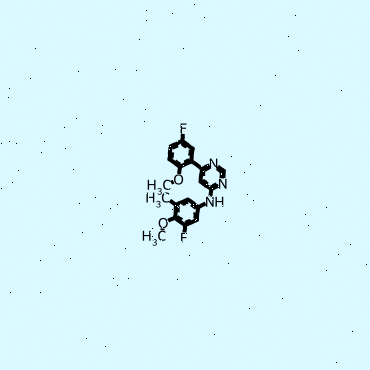 COc1ccc(F)cc1-c1cc(Nc2cc(C)c(OC)c(F)c2)ncn1